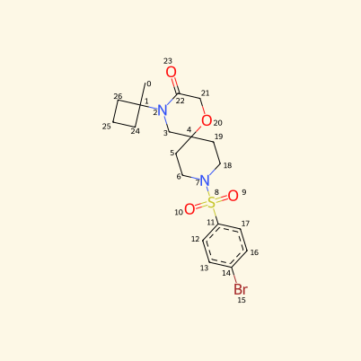 CC1(N2CC3(CCN(S(=O)(=O)c4ccc(Br)cc4)CC3)OCC2=O)CCC1